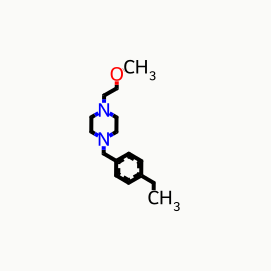 CCc1ccc(CN2CCN(CCOC)CC2)cc1